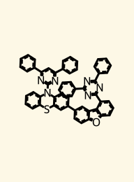 c1ccc(-c2cc(-c3ccccc3)nc(N3c4ccccc4Sc4cc(-c5ccc6oc7cccc(-c8nc(-c9ccccc9)nc(-c9ccccc9)n8)c7c6c5)ccc43)n2)cc1